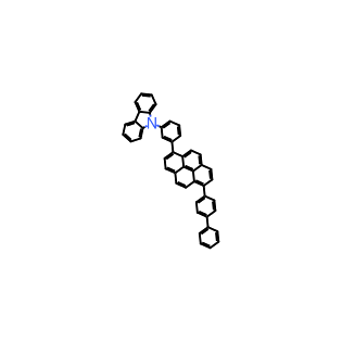 c1ccc(-c2ccc(-c3ccc4ccc5c(-c6cccc(-n7c8ccccc8c8ccccc87)c6)ccc6ccc3c4c65)cc2)cc1